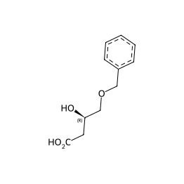 O=C(O)C[C@@H](O)COCc1ccccc1